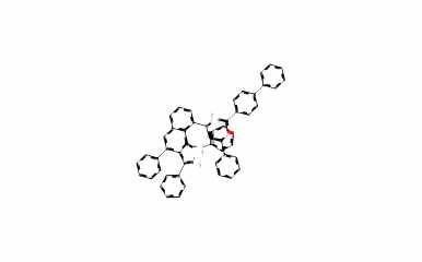 c1ccc(-c2ccc(-c3nc(-c4ccccc4)cc(-c4cccc5cc(-c6ccccc6)c6c(-c7ccccc7)nn(-c7ccccc7)c6c45)n3)cc2)cc1